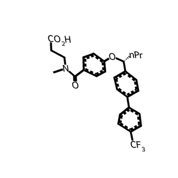 CCC[C@@H](Oc1ccc(C(=O)N(C)CCC(=O)O)cc1)c1ccc(-c2ccc(C(F)(F)F)cc2)cc1